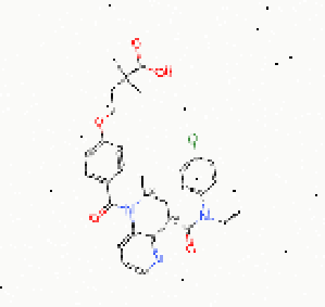 CCN(C(=O)[C@H]1C[C@H](C)N(C(=O)c2ccc(OCCC(C)(C)C(=O)O)cc2)c2cccnc21)c1ccc(Cl)cc1